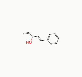 C=CC(O)/C=C/c1ccccc1